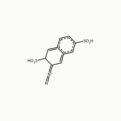 [N-]=[N+]=C1C=c2cc(S(=O)(=O)O)ccc2=CC1S(=O)(=O)O